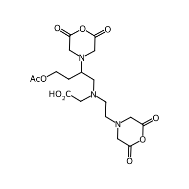 CC(=O)OCCC(CN(CCN1CC(=O)OC(=O)C1)CC(=O)O)N1CC(=O)OC(=O)C1